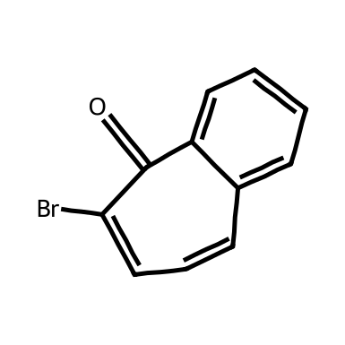 O=c1c(Br)cccc2ccccc12